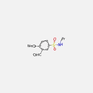 COc1ccc(S(=O)(=O)NC(C)C)cc1C=O